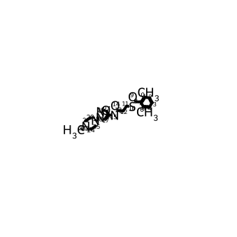 Cc1cccc(C)c1C(=O)SCCC(=O)[N-]c1c[n+](N2CCN(C)CC2)no1